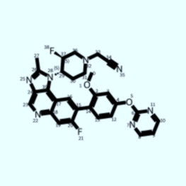 COc1cc(Oc2ncccn2)ccc1-c1cc2c(cc1F)ncc1nc(C)n([C@H]3CCN(CC#N)C[C@@H]3F)c12